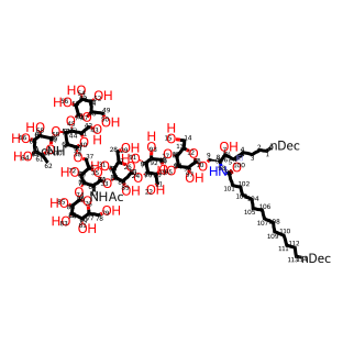 CCCCCCCCCCCCC/C=C/[C@@H](O)[C@H](CO[C@@H]1OC(CO)[C@@H](O[C@@H]2OC(CO)[C@H](O[C@@H]3OC(CO)[C@H](O)[C@H](O[C@@H]4OC(CO[C@@H]5OC(CO)[C@@H](O[C@@H]6OC(CO)[C@H](O)[C@H](O)C6O)[C@H](O[C@H]6OC(C)[C@@H](O)C(O)[C@@H]6O)C5NC(C)=O)[C@H](O)[C@H](O[C@@H]5OC(CO)[C@H](O)[C@H](O)C5O)C4NC(C)=O)C3O)[C@H](O)C2O)[C@H](O)C1O)NC(=O)CCCCCCCCCCCCCCCCCCCCCCC